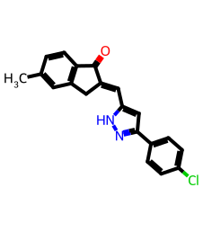 Cc1ccc2c(c1)C/C(=C\c1cc(-c3ccc(Cl)cc3)n[nH]1)C2=O